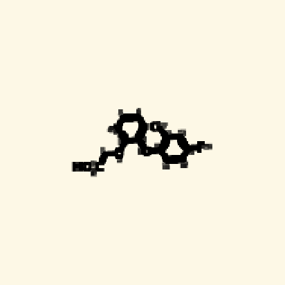 CCOC(=O)COc1ncccc1Oc1c[c]c(F)cc1Cl